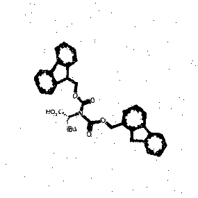 CC[C@@H](C)[C@H](C(=O)O)N(C(=O)OCc1cccc2c1Cc1ccccc1-2)C(=O)OCC1c2ccccc2-c2ccccc21